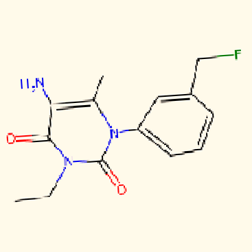 CCn1c(=O)c(N)c(C)n(-c2cccc(CF)c2)c1=O